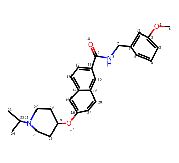 COc1cccc(CNC(=O)c2ccc3cc(OC4CCN(C(C)C)CC4)ccc3c2)c1